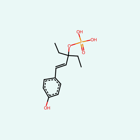 CCC(C=Cc1ccc(O)cc1)(CC)OP(=O)(O)O